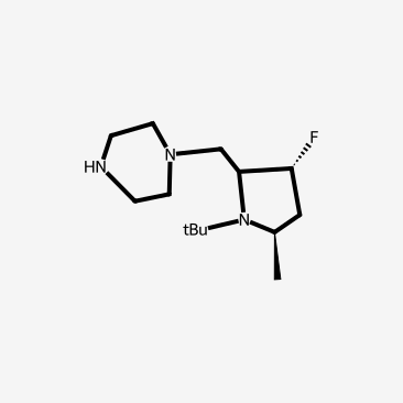 C[C@@H]1C[C@@H](F)C(CN2CCNCC2)N1C(C)(C)C